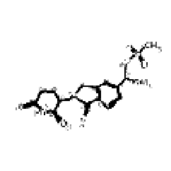 CS(=O)(=O)OC(N)c1ccc2c(c1)CN(C1CCC(=O)NC1=O)C2=O